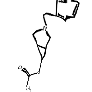 NC(=O)OC1C2CN(Cc3ccccc3)CC21